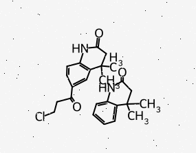 CC1(C)CC(=O)Nc2ccc(C(=O)CCCl)cc21.CC1(C)CC(=O)Nc2ccccc21